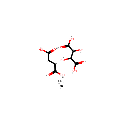 O=C(O)C(O)C(O)C(=O)O.O=C(O)CCC(=O)O.[AlH3].[Zn]